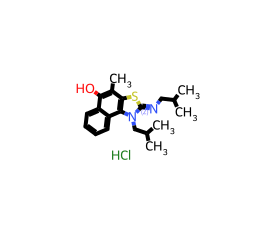 Cc1c(O)c2ccccc2c2c1s/c(=N\CC(C)C)n2CC(C)C.Cl